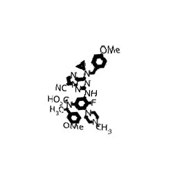 COc1ccc(CN(c2nc(Nc3cc(N(C(=O)O)C(C)c4ccc(OC)cc4)cc(N4CCN(C)CC4)c3F)nn3c(C#N)cnc23)C2CC2)cc1